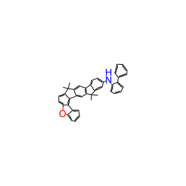 CC1(C)c2cc(Nc3ccccc3-c3ccccc3)ccc2-c2cc3c(cc21)-c1c(ccc2oc4ccccc4c12)C3(C)C